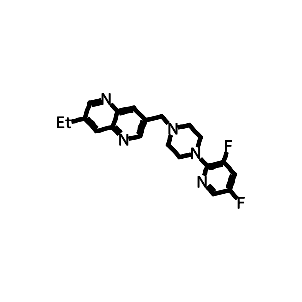 CCc1cnc2cc(CN3CCN(c4ncc(F)cc4F)CC3)cnc2c1